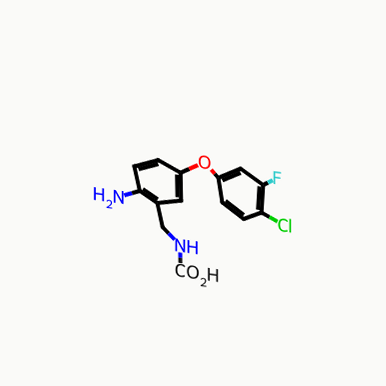 Nc1ccc(Oc2ccc(Cl)c(F)c2)cc1CNC(=O)O